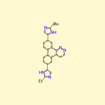 CCc1ncc(-c2ccc3c(c2)c2ccnnc2c2cc(-c4cnc(C(C)CC)[nH]4)ccc32)[nH]1